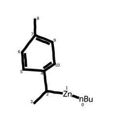 CCC[CH2][Zn][CH](C)c1ccc(C)cc1